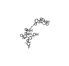 Cc1cc(F)cc(C)c1Oc1ccc(C(C)(C)O)cc1-c1cn(C)c(=O)c2cc(C(=O)NCCCCCOc3cccc4c3CN(C3CCC(=O)NC3=O)C4=O)[nH]c12